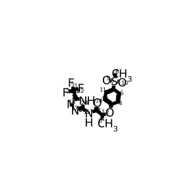 CC(Oc1ccc(S(C)(=O)=O)cc1)C(=O)Nc1nnc(C(F)(F)F)[nH]1